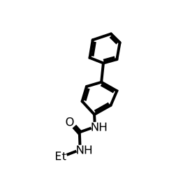 CCNC(=O)Nc1ccc(-c2ccccc2)cc1